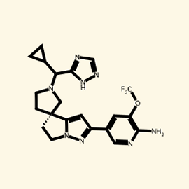 Nc1ncc(-c2cc3n(n2)CC[C@@]32CCN(C(c3ncn[nH]3)C3CC3)C2)cc1OC(F)(F)F